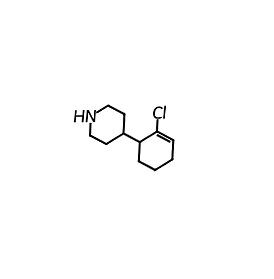 ClC1=CCCCC1C1CCNCC1